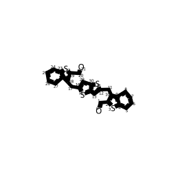 O=Cc1sc2ccccc2c1Cc1cc2sc(Cc3c(C=O)sc4ccccc34)cc2s1